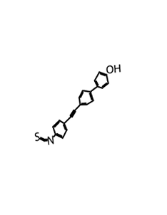 Oc1ccc(-c2ccc(C#Cc3ccc(N=C=S)cc3)cc2)cc1